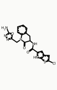 Nc1nnc(CN2C(=O)C(NC(=O)c3cc4cc(Cl)sc4[nH]3)Cc3ccccc32)o1